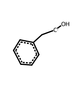 O[CH]Cc1ccccc1